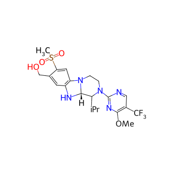 COc1nc(N2CCN3c4cc(S(C)(=O)=O)c(CO)cc4N[C@H]3C2C(C)C)ncc1C(F)(F)F